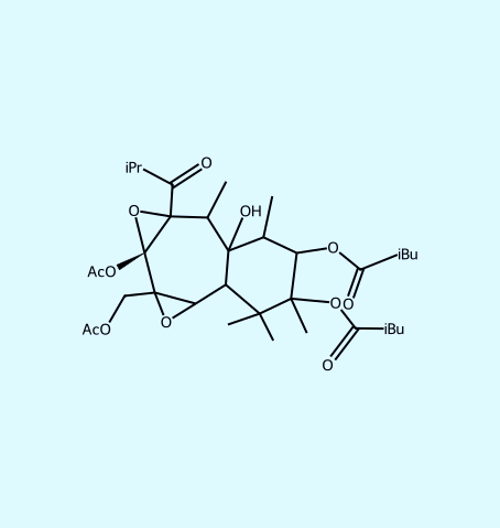 CCC(C)C(=O)OC1C(C)C2(O)C(C3OC3(COC(C)=O)[C@]3(OC(C)=O)OC3(C(=O)C(C)C)C2C)C(C)(C)C1(C)OC(=O)C(C)CC